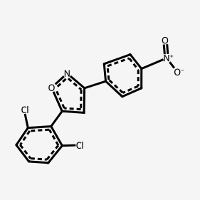 O=[N+]([O-])c1ccc(-c2cc(-c3c(Cl)cccc3Cl)on2)cc1